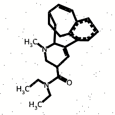 CCN(CC)C(=O)C1C=C2c3cccc4c3CCC(C=C4)CC2N(C)C1